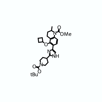 COC(=O)N1c2ccc(-c3c[nH]c(C4CCN(C(=O)OC(C)(C)C)CC4)n3)c(OC3CCC3)c2CCC1C